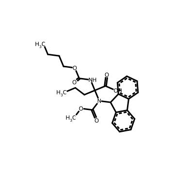 CCCCOC(=O)NC(CCC)(C(=O)O)N(C(=O)OC)C1c2ccccc2-c2ccccc21